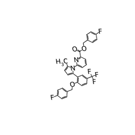 Cc1ccc(-c2cc(C(F)(F)F)ccc2OCc2ccc(F)cc2)n1-c1cccc(C(=O)OCc2ccc(F)cc2)n1